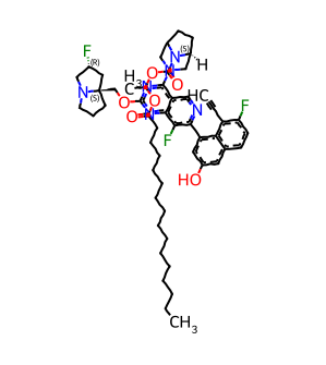 C#Cc1c(F)ccc2cc(O)cc(-c3ncc4c(N5CC6CC[C@@H](C5)N6C(=O)OC(C)OC(=O)CCCCCCCCCCCCCCC)nc(OC[C@@]56CCCN5C[C@H](F)C6)nc4c3F)c12